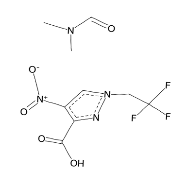 CN(C)C=O.O=C(O)c1nn(CC(F)(F)F)cc1[N+](=O)[O-]